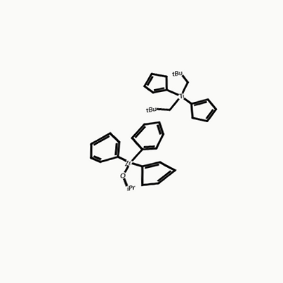 CC(C)(C)[CH2][Ti]([CH2]C(C)(C)C)([C]1=CC=CC1)[C]1=CC=CC1.CC(C)[O][Zr]([C]1=CC=CC1)([c]1ccccc1)[c]1ccccc1